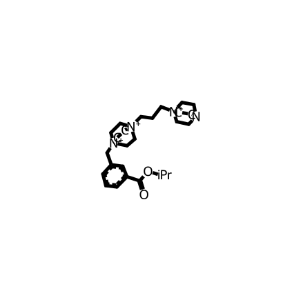 CC(C)OC(=O)c1cccc(C[N+]23CC[N+](CCC[N+]45CCN(CC4)CC5)(CC2)CC3)c1